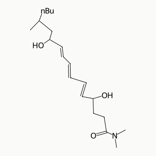 CCCCC(C)CC(O)C=CC=CC=CC(O)CCC(=O)N(C)C